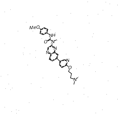 COc1ccc(NC(=O)N(C)c2cnc3ccc(-c4ccc(OCCCN(C)C)nc4)cc3n2)cc1